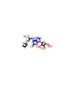 C[C@H](CSc1cccs1)Nc1nc(Cl)nc2c1ncn2[C@@H]1O[C@H](CO)C(O)C1O